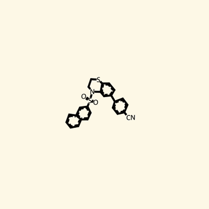 N#Cc1ccc(-c2ccc3c(c2)N(S(=O)(=O)c2ccc4ccccc4c2)CCS3)cc1